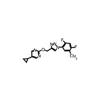 Cc1cc(-n2cc(COc3ncc(C4CC4)cn3)nn2)c(F)cc1F